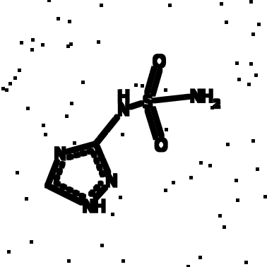 NS(=O)(=O)Nc1nc[nH]n1